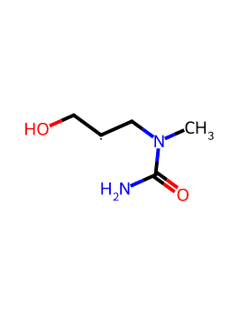 CN(C[CH]CO)C(N)=O